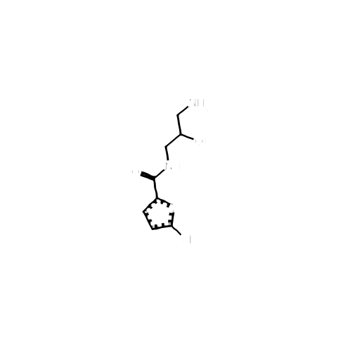 NCC(O)CNC(=O)c1ccc(Cl)s1